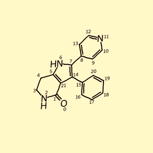 O=C1NCCc2[nH]c(-c3ccncc3)c(-c3ccccc3)c21